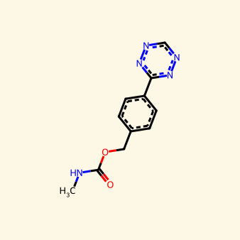 CNC(=O)OCc1ccc(-c2nncnn2)cc1